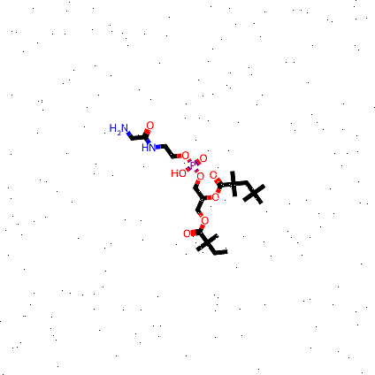 CCC(C)(C)C(=O)OCC(COP(=O)(O)OCCNC(=O)CN)OC(=O)C(C)(C)CC(C)(C)C